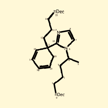 CCCCCCCCCCCCCC(C)n1ccnc1C1(CCCCCCCCCCCCC)C=CC=CC1